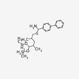 C[SiH2]OC(O[SiH2]C)C(C)CC(C)CSC(N)c1ccc(-c2ccccc2)cc1